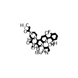 C=CC(=O)N1CCN2c3c(c(=O)n(-c4c(C#N)cnn4C(C)(C)C)c4nc(-c5c(O)cccc5F)c(Cl)cc34)N(C)C(=O)[C@H]2C1